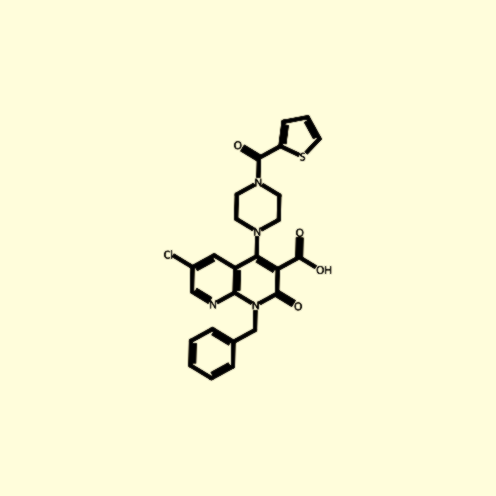 O=C(O)c1c(N2CCN(C(=O)c3cccs3)CC2)c2cc(Cl)cnc2n(Cc2ccccc2)c1=O